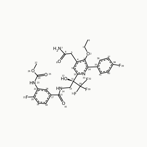 CCOc1c(CC(N)=O)cc([C@@](O)(CNC(=O)c2ccc(F)c(NC(=O)OC)c2)C(F)(F)F)nc1-c1ccc(F)cc1